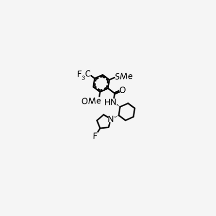 COc1cc(C(F)(F)F)cc(SC)c1C(=O)N[C@@H]1CCCC[C@@H]1N1CCC(F)C1